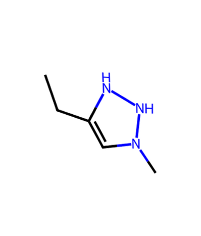 CCC1=CN(C)NN1